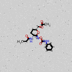 CCC(=O)N[C@@H]1[CH][CH][C@H](COC(C)=O)OC1=NOC(=O)Nc1ccccc1